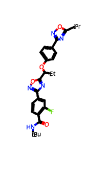 [CH2]C(C)(C)NC(=O)c1ccc(-c2noc(C(CC)Oc3ccc(-c4noc(C(C)C)n4)cc3)n2)cc1F